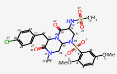 COc1ccc(OC)c(S(=O)(=O)N2CC(NS(C)(=O)=O)C(=O)N3C(Cc4ccc(Cl)cc4)C(=O)N(C(C)C)CC32)c1